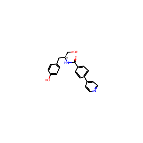 O=C(N[C@H](CO)Cc1ccc(O)cc1)c1ccc(-c2ccncc2)cc1